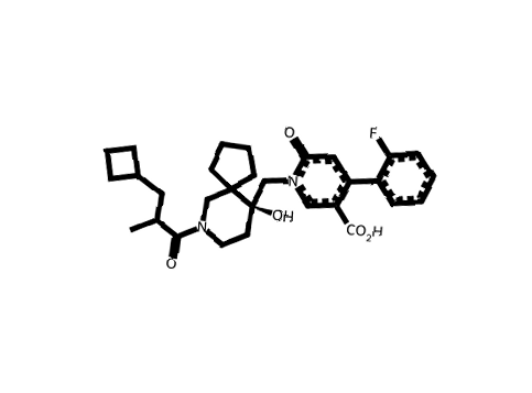 CC(CC1CCC1)C(=O)N1CC[C@@](O)(Cn2cc(C(=O)O)c(-c3ccccc3F)cc2=O)C2(CCCC2)C1